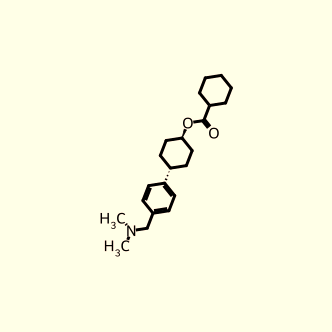 CN(C)Cc1ccc([C@H]2CC[C@H](OC(=O)C3CCCCC3)CC2)cc1